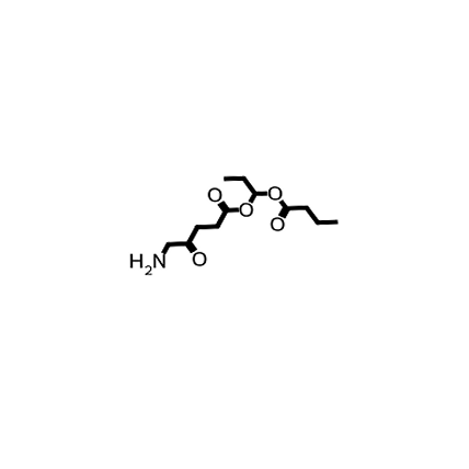 CCCC(=O)OC(CC)OC(=O)CCC(=O)CN